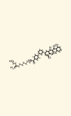 CCn1nc(-c2cccc(-c3ccc(C(=O)NCCCCCCCN(C)CCO)cc3)c2)cc(NC(=O)Nc2c(Cl)cncc2Cl)c1=O